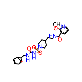 COc1ncccc1C(=O)NCCC1CCN(S(=O)(=O)NC(=O)NCC2CC3C=CC2C3)CC1